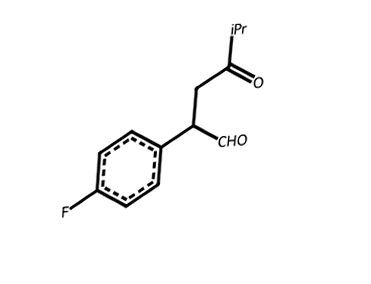 CC(C)C(=O)CC(C=O)c1ccc(F)cc1